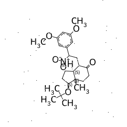 COc1cc(OC)cc(C(CC2C(=O)CC[C@]3(C)[C@@H](OC(C)(C)C)CC[C@@H]23)[N+](=O)[O-])c1